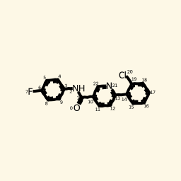 O=C(Nc1ccc(F)cc1)c1ccc(-c2ccccc2Cl)nc1